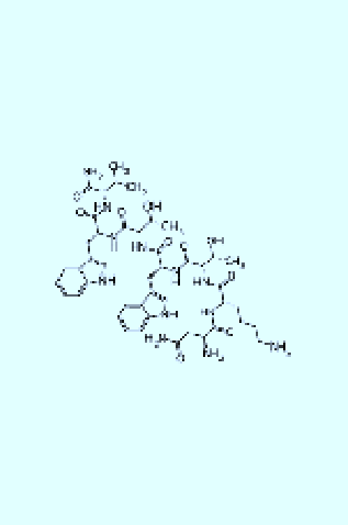 CC(C)[C@H](NC(=O)[C@H](Cc1c[nH]c2ccccc12)NC(=O)[C@@H](NC(=O)[C@H](Cc1c[nH]c2ccccc12)NC(=O)[C@@H](NC(=O)[C@H](CCCCN)NC(=O)[C@@H](N)CC(N)=O)[C@@H](C)O)[C@@H](C)O)C(N)=O